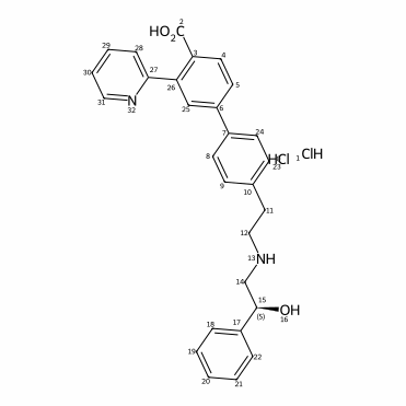 Cl.Cl.O=C(O)c1ccc(-c2ccc(CCNC[C@@H](O)c3ccccc3)cc2)cc1-c1ccccn1